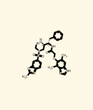 Cc1nc2ccc(S(=O)(=O)N(CC(C)C)C[C@@H](O)[C@H](Cc3ccccc3)NC(=O)COc3c(C)cc4[nH]cnc4c3C)cc2o1